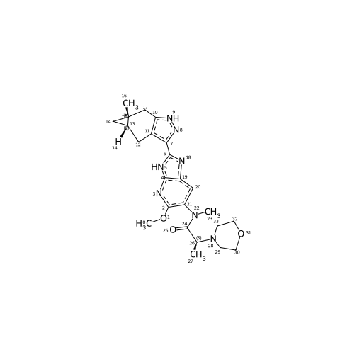 COc1nc2[nH]c(-c3n[nH]c4c3C[C@@H]3C[C@]3(C)C4)nc2cc1N(C)C(=O)[C@H](C)N1CCOCC1